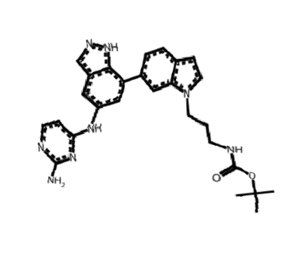 CC(C)(C)OC(=O)NCCCn1ccc2ccc(-c3cc(Nc4ccnc(N)n4)cc4cn[nH]c34)cc21